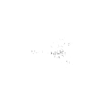 C=C(OCC)C1CC(OC)CCC12Cc1ccc(Br)cc1C2NS(=O)(=O)CC[Si](C)(C)C